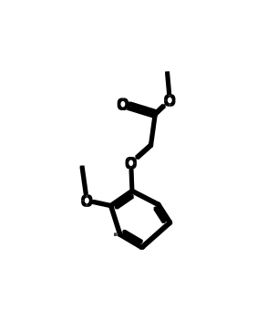 COC(=O)COc1ccc[c]c1OC